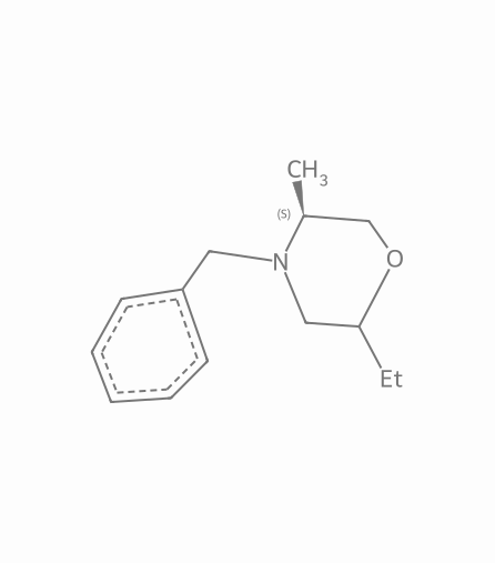 CCC1CN(Cc2ccccc2)[C@@H](C)CO1